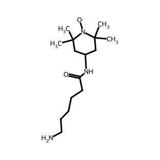 CC1(C)CC(NC(=O)CCCCCN)CC(C)(C)N1[O]